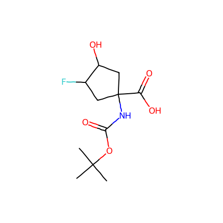 CC(C)(C)OC(=O)NC1(C(=O)O)CC(O)C(F)C1